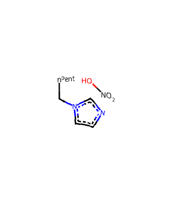 CCCCCCn1ccnc1.O=[N+]([O-])O